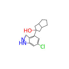 OC1(c2cc(Cl)cc3[nH]ncc23)CC2CCCC2C1